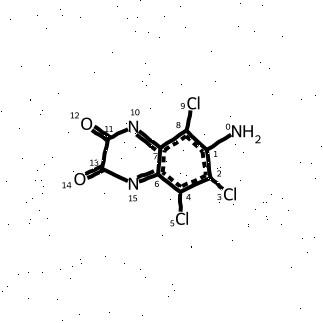 Nc1c(Cl)c(Cl)c2c(c1Cl)=NC(=O)C(=O)N=2